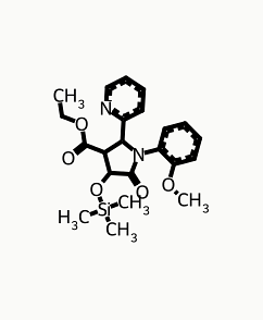 CCOC(=O)C1C(O[Si](C)(C)C)C(=O)N(c2ccccc2OC)C1c1ccccn1